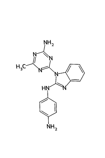 Cc1nc(N)nc(-n2c(Nc3ccc(N)cc3)nc3ccccc32)n1